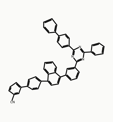 N#Cc1cccc(-c2ccc(-c3ccc(-c4cccc(-c5nc(-c6ccccc6)nc(-c6ccc(-c7ccccc7)cc6)n5)c4)c4ccccc34)cc2)c1